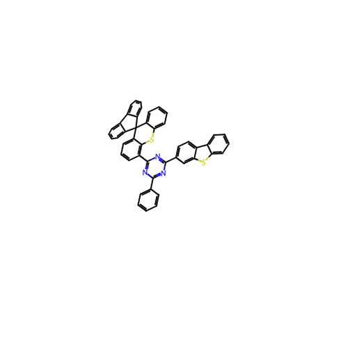 c1ccc(-c2nc(-c3ccc4c(c3)sc3ccccc34)nc(-c3cccc4c3Sc3ccccc3C43c4ccccc4-c4ccccc43)n2)cc1